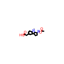 CC(=O)O/N=C1\CCc2c1n(C)c1ccc(CC(=O)O)cc21